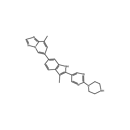 Cc1c(-c2cnc(N3CCNCC3)nc2)[nH]c2cc(-c3cc(C)c4ncnn4c3)ccc12